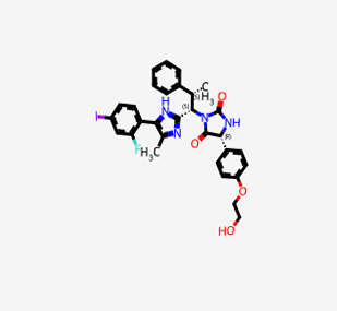 Cc1nc([C@H]([C@@H](C)c2ccccc2)N2C(=O)N[C@H](c3ccc(OCCO)cc3)C2=O)[nH]c1-c1ccc(I)cc1F